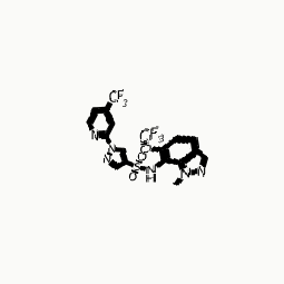 Cn1ncc2ccc(OC(F)(F)F)c(NS(=O)(=O)c3cnn(-c4cc(C(F)(F)F)ccn4)c3)c21